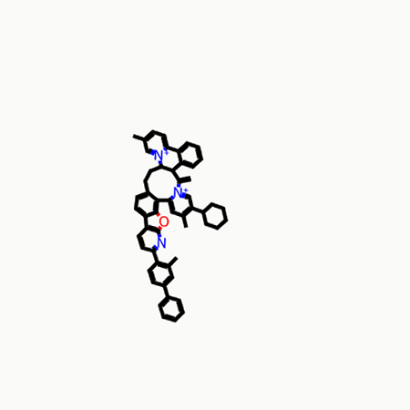 C=C1C2c3ccccc3-c3ccc(C)c[n+]3C2CCc2ccc3c(oc4nc(-c5ccc(-c6ccccc6)cc5C)ccc43)c2-c2cc(C)c(C3CCCCC3)c[n+]21